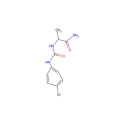 CCc1ccc(NC(=O)NC(C)C(N)=O)cc1